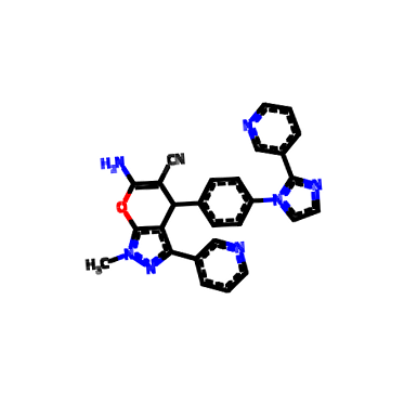 Cn1nc(-c2cccnc2)c2c1OC(N)=C(C#N)C2c1ccc(-n2ccnc2-c2cccnc2)cc1